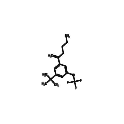 C=C(CCCN)c1cc(OC(F)(F)F)cc(C(C)(C)C)c1